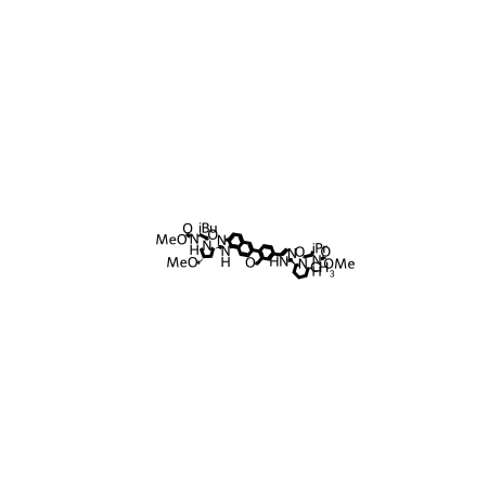 CC[C@H](C)[C@H](NC(=O)OC)C(=O)N1C[C@@H](COC)C[C@H]1c1nc2ccc3cc4c(cc3c2[nH]1)OCc1cc(-c2cnc([C@@H]3CCC[C@H](C)N3C(=O)C(NC(=O)OC)C(C)C)[nH]2)ccc1-4